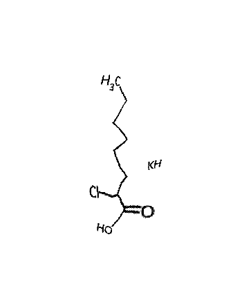 CCCCCCC(Cl)C(=O)O.[KH]